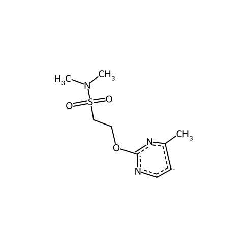 Cc1[c]cnc(OCCS(=O)(=O)N(C)C)n1